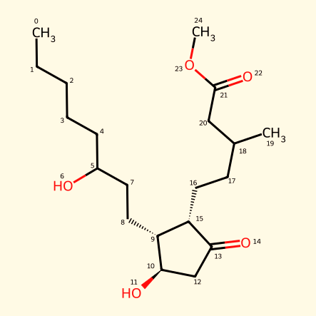 CCCCCC(O)CC[C@H]1[C@H](O)CC(=O)[C@H]1CCC(C)CC(=O)OC